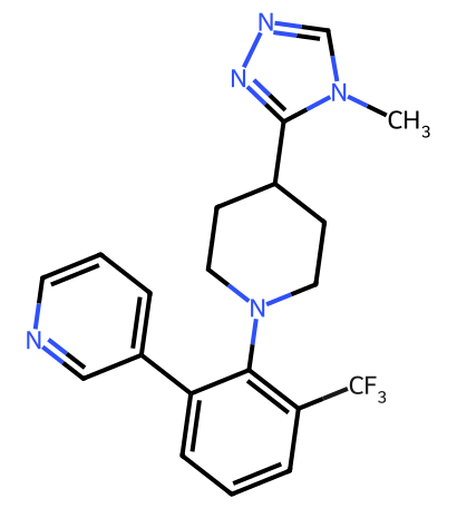 Cn1cnnc1C1CCN(c2c(-c3cccnc3)cccc2C(F)(F)F)CC1